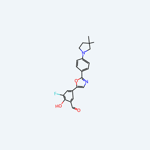 CC1(C)CCN(c2ccc(-c3ncc(-c4cc(F)c(O)c(C=O)c4)o3)cc2)C1